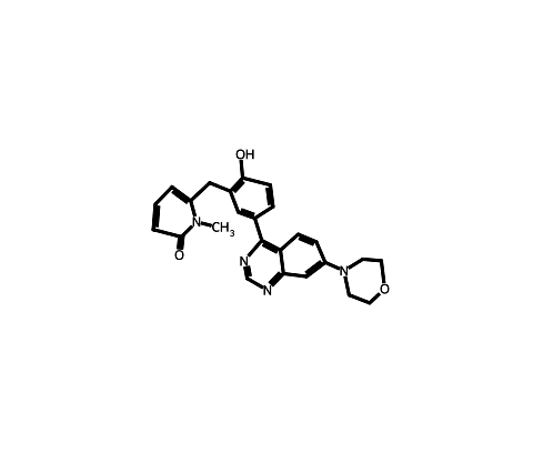 Cn1c(Cc2cc(-c3ncnc4cc(N5CCOCC5)ccc34)ccc2O)cccc1=O